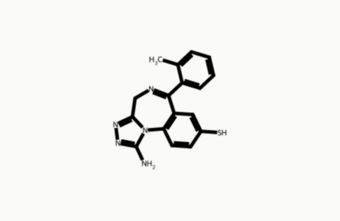 Cc1ccccc1C1=NCc2nnc(N)n2-c2ccc(S)cc21